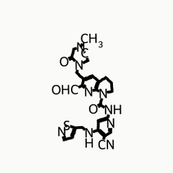 CN1CCN(Cc2cc3c(nc2C=O)N(C(=O)Nc2cc(NCc4ccns4)c(C#N)cn2)CCC3)C(=O)C1